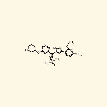 COc1nc(C)ccc1-c1cc(Nc2cncc(O[C@@H]3CCCNC3)n2)[nH]n1.CS(=O)(=O)O